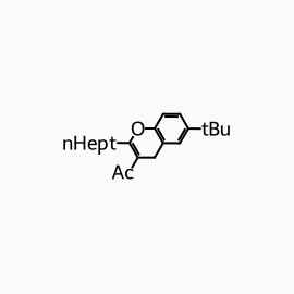 CCCCCCCC1=C(C(C)=O)Cc2cc(C(C)(C)C)ccc2O1